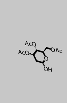 CC(=O)OC[C@H]1O[C@@H](O)C[C@@H](OC(C)=O)[C@@H]1OC(C)=O